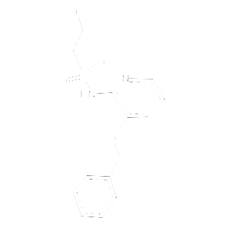 CC(C)CCS(=O)(=O)Nc1ncccc1OCc1ccccc1